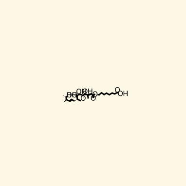 C/C(=C\C(=O)OCCCCCCCC(=O)O)[C@@H](O)[C@@H]1OC[C@H](C/C=C/[C@@H](C)[C@H](C)O)[C@@H](O)[C@H]1O